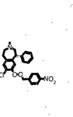 CN1CCc2cc(Cl)c(OOCc3ccc([N+](=O)[O-])cc3)cc2[C@@H](c2ccccc2)C1